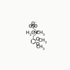 COc1cccc(CC[N+](C)(C)CCS(=O)(=O)[O-])c1OC